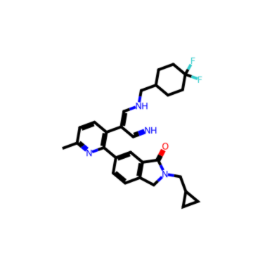 Cc1ccc(/C(C=N)=C/NCC2CCC(F)(F)CC2)c(-c2ccc3c(c2)C(=O)N(CC2CC2)C3)n1